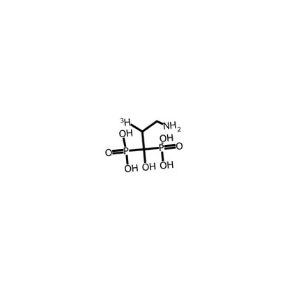 [3H]C(CN)C(O)(P(=O)(O)O)P(=O)(O)O